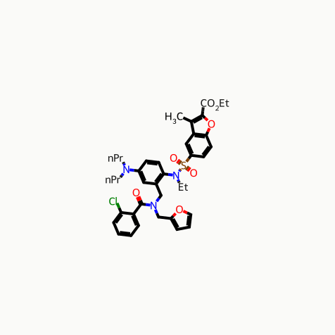 CCCN(CCC)c1ccc(N(CC)S(=O)(=O)c2ccc3oc(C(=O)OCC)c(C)c3c2)c(CN(Cc2ccco2)C(=O)c2ccccc2Cl)c1